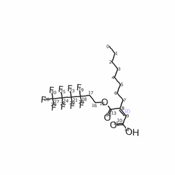 CCCCCCCC/C(=C/C(=O)O)C(=O)OCCC(F)(F)C(F)(F)C(F)(F)C(F)(F)F